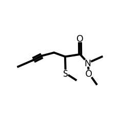 CC#CCC(SC)C(=O)N(C)OC